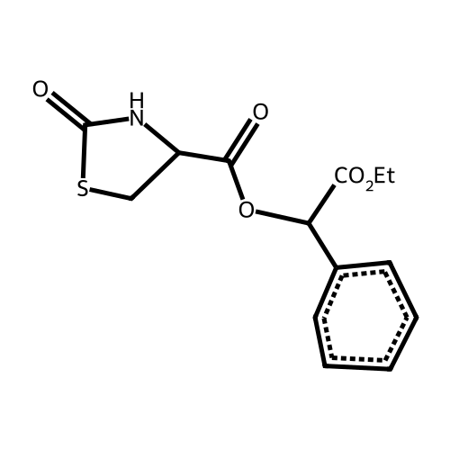 CCOC(=O)C(OC(=O)C1CSC(=O)N1)c1ccccc1